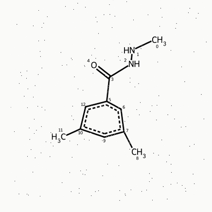 CNNC(=O)c1cc(C)cc(C)c1